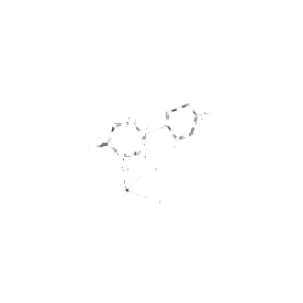 O=c1cnc(-c2ccc(Cl)cc2)nn1CC(F)(F)F